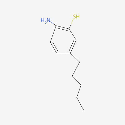 CCCCCc1ccc(N)c(S)c1